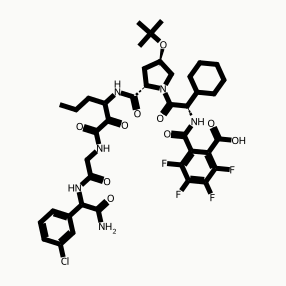 CCCC(NC(=O)[C@@H]1C[C@@H](OC(C)(C)C)CN1C(=O)[C@@H](NC(=O)c1c(F)c(F)c(F)c(F)c1C(=O)O)C1CCCCC1)C(=O)C(=O)NCC(=O)NC(C(N)=O)c1cccc(Cl)c1